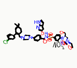 CC1(C)CCC(CN2CCN(c3ccc(C(=O)NS(=O)(=O)c4cc5c(c([N+](=O)[O-])c4)N[C@H](CN4CCOC4=O)CO5)c(Oc4cnc5[nH]ccc5c4)c3)CC2)=C(c2ccc(Cl)cc2)C1